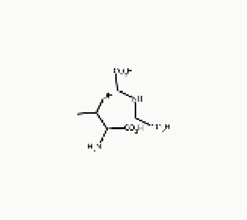 CC(O)C(N)C(=O)O.O=C(O)CNCC(=O)O